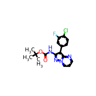 CC(C)(C)OC(=O)Nc1nn2cccnc2c1-c1ccc(Cl)c(F)c1